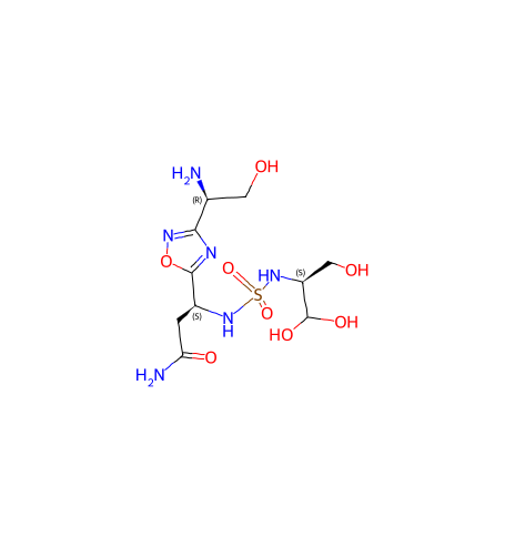 NC(=O)C[C@H](NS(=O)(=O)N[C@@H](CO)C(O)O)c1nc([C@@H](N)CO)no1